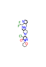 O=c1c(Cl)c(N2CCc3c(cnn3Cc3cccnc3CC(F)F)C2)cnn1C1CCCCO1